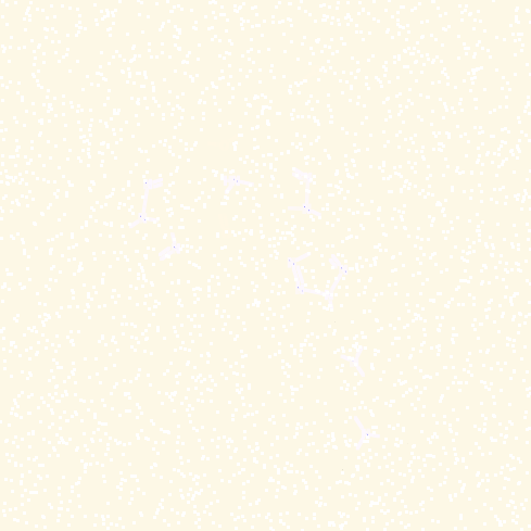 CN(C)CCN1CC(n2nnc(Cn3cc(NC(=O)c4cnn5cccnc45)c(-c4cc(OC(F)F)ccc4OC(F)F)n3)n2)C1